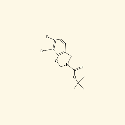 CC(C)(C)OC(=O)N1COc2c(ccc(F)c2Br)C1